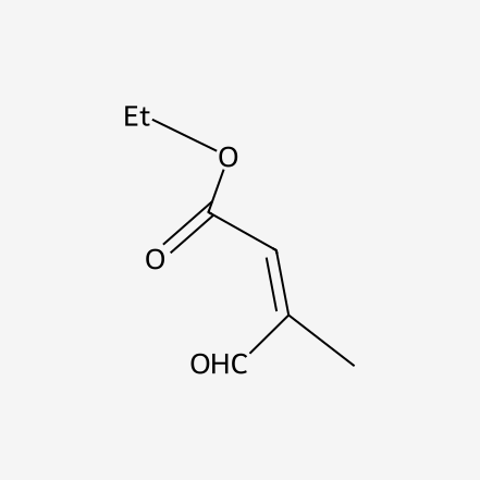 CCOC(=O)/C=C(/C)C=O